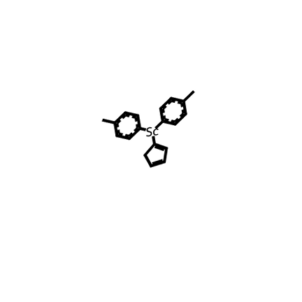 Cc1cc[c]([Sc]([C]2=CC=CC2)[c]2ccc(C)cc2)cc1